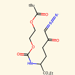 CCOC(=O)C(CCC(=O)C=[N+]=[N-])NC(=O)OCCOC(=O)C(C)(C)C